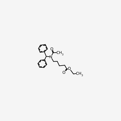 CCOC(=O)CCCCN(C(C)=O)C(c1ccccc1)c1ccccc1